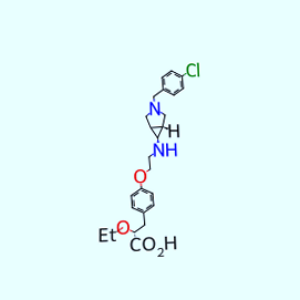 CCO[C@H](Cc1ccc(OCCN[C@H]2C3CN(Cc4ccc(Cl)cc4)C[C@@H]32)cc1)C(=O)O